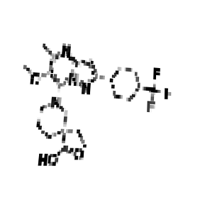 CC[C@]1(C(=O)O)CCCN(c2c(OC)c(C)nc3cc([C@H]4CC[C@H](C(F)(F)F)CC4)nn23)C1